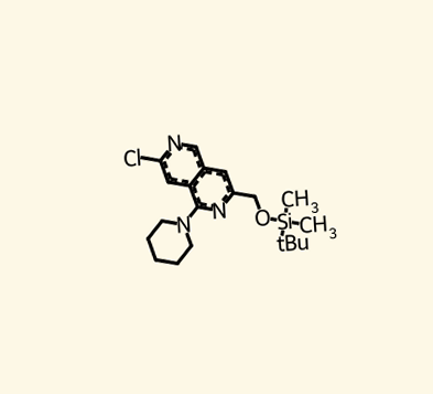 CC(C)(C)[Si](C)(C)OCc1cc2cnc(Cl)cc2c(N2CCCCC2)n1